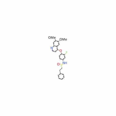 COc1cc2nccc(Oc3ccc(N[S+]([O-])CCc4ccccc4)cc3F)c2cc1OC